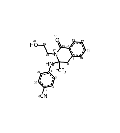 N#Cc1ccc(NC2(C(F)(F)F)Cc3ccccc3C(=O)N2CCO)cc1